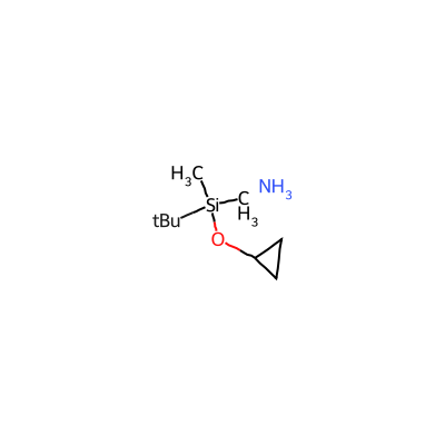 CC(C)(C)[Si](C)(C)OC1CC1.N